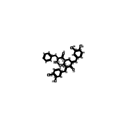 CN[C@@H](Cc1ccccc1)C(=O)N1C/C(=C\c2ccc(Cl)c(Cl)c2)C(=O)/C(=C/c2ccc(Cl)c(Cl)c2)C1